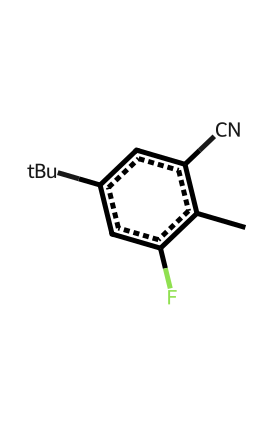 Cc1c(F)cc(C(C)(C)C)cc1C#N